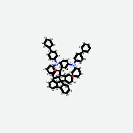 c1ccc(-c2ccc(N(c3ccccc3)c3ccc(N(c4ccccc4)c4ccc(-c5ccccc5)cc4)c(-c4cccc5c4-c4ccccc4C54c5ccccc5-c5ccccc54)c3)cc2)cc1